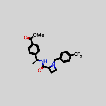 COC(=O)c1ccc([C@H](C)NC(=O)C2CCN2Cc2ccc(C(F)(F)F)cc2)cc1